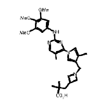 COc1cc(Nc2ncc(C)c(-n3cc(C)c(CN4CC(CC(C)(C)C(=O)O)C4)c3)n2)cc(OC)c1OC